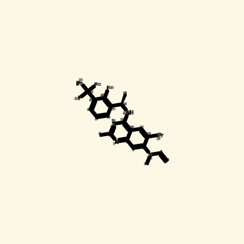 C=CN(C)c1cc2nc(C)nc(N[C@H](C)c3cccc(C(F)(F)C(C)C)c3F)c2cc1C(C)C